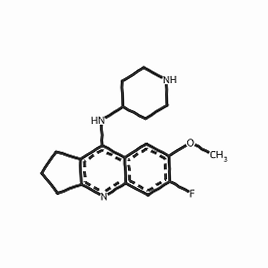 COc1cc2c(NC3CCNCC3)c3c(nc2cc1F)CCC3